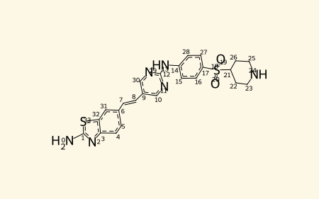 Nc1nc2ccc(C=Cc3cnc(Nc4ccc(S(=O)(=O)C5CCNCC5)cc4)nc3)cc2s1